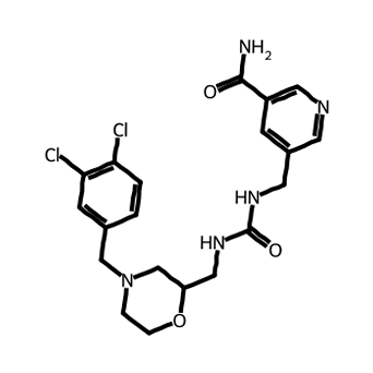 NC(=O)c1cncc(CNC(=O)NCC2CN(Cc3ccc(Cl)c(Cl)c3)CCO2)c1